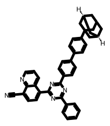 N#Cc1ccc(-c2nc(-c3ccccc3)nc(-c3ccc(-c4ccc(C56CC7C[C@H](C5)C[C@@H](C7)C6)cc4)cc3)n2)c2cccnc12